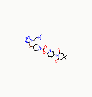 CN(C)CCn1nnnc1SC1CCN(C(=O)Oc2ccc(N3C(=O)CC(C)(C)CC3=O)cn2)CC1